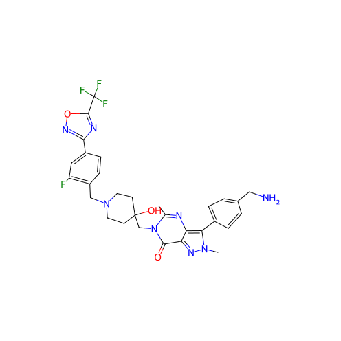 Cc1nc2c(-c3ccc(CN)cc3)n(C)nc2c(=O)n1CC1(O)CCN(Cc2ccc(-c3noc(C(F)(F)F)n3)cc2F)CC1